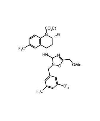 CCOC(=O)N1c2ccc(C(F)(F)F)cc2[C@@H](NC2N=C(COC)ON2Cc2cc(C(F)(F)F)cc(C(F)(F)F)c2)C[C@H]1CC